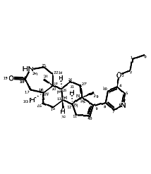 CCCOc1cncc(C2=CC[C@H]3[C@@H]4CC[C@H]5CC(=O)NCC[C@]5(C)[C@H]4CC[C@]23C)c1